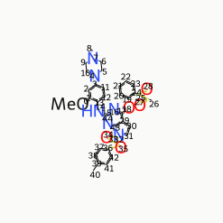 COc1cc(N2CCN(C)CC2)ccc1Nc1nc(Oc2ccccc2S(C)(=O)=O)c2ccn(S(=O)(=O)c3ccc(C)cc3)c2n1